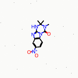 CN1C(=O)n2c(nc3cc([N+](=O)[O-])ccc32)NC1(C)C